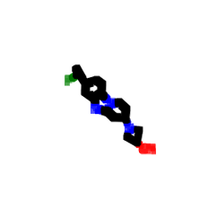 C=C(F)c1ccc2c(c1)nc1cc(N3CC(O)C3)ccn12